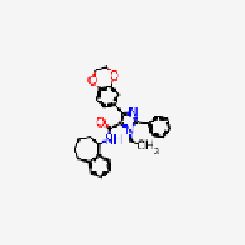 CCn1c(-c2ccccc2)nc(-c2ccc3c(c2)OCCO3)c1C(=O)NC1CCCCc2ccccc21